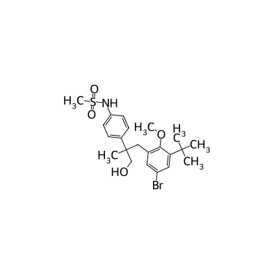 COc1c(CC(C)(CO)c2ccc(NS(C)(=O)=O)cc2)cc(Br)cc1C(C)(C)C